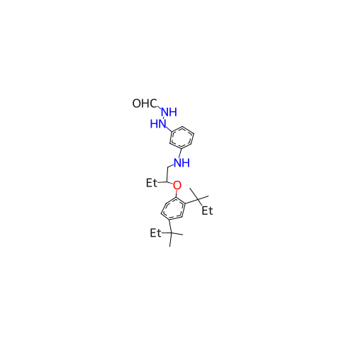 CCC(CNc1cccc(NNC=O)c1)Oc1ccc(C(C)(C)CC)cc1C(C)(C)CC